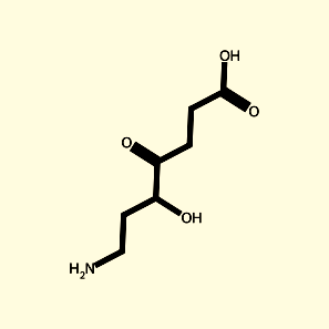 NCCC(O)C(=O)CCC(=O)O